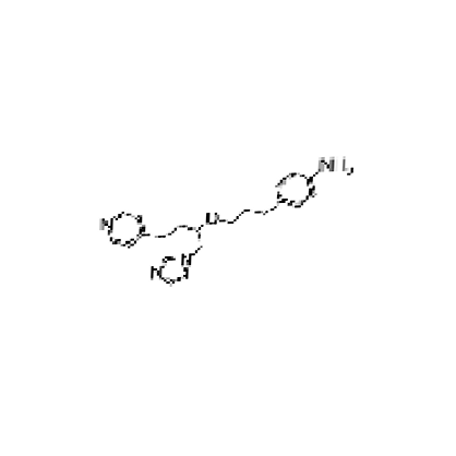 Nc1ccc(CCCOC(CCc2ccncc2)Cn2ccnc2)cc1